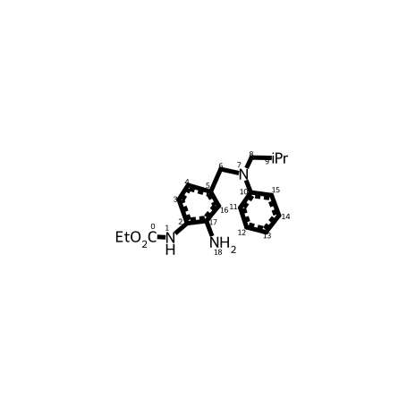 CCOC(=O)Nc1ccc(CN(CC(C)C)c2ccccc2)cc1N